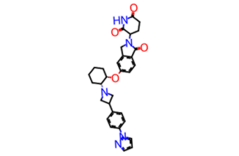 O=C1CCC(N2Cc3cc(O[C@@H]4CCCC[C@H]4N4CC(c5ccc(-n6cccn6)cc5)C4)ccc3C2=O)C(=O)N1